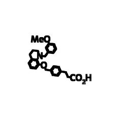 COc1cccc(CN2CCCc3cccc(OCc4ccc(CCC(=O)O)cc4)c32)c1